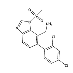 CS(=O)(=O)n1cnc2ccc(-c3ccc(Cl)cc3Cl)c(CN)c21